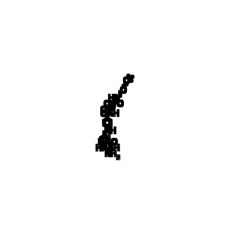 CC(C)(C)OCCOCCNC(=O)CCC(NC(=O)C1C=CC(NCc2cnc3c(n2)C(=O)NC(N)N3)CC1)C(=O)O